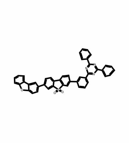 O=S1(=O)c2cc(-c3cccc(-c4nc(-c5ccccc5)nc(-c5ccccc5)n4)c3)ccc2-c2ccc(-c3ccc4oc5ccccc5c4c3)cc21